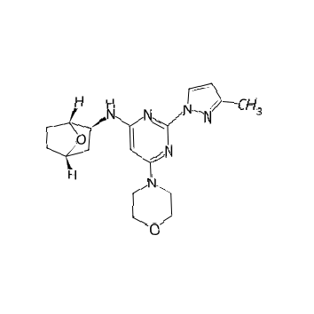 Cc1ccn(-c2nc(N[C@H]3C[C@@H]4CC[C@H]3O4)cc(N3CCOCC3)n2)n1